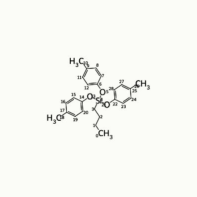 CCCC[Si](Oc1ccc(C)cc1)(Oc1ccc(C)cc1)Oc1ccc(C)cc1